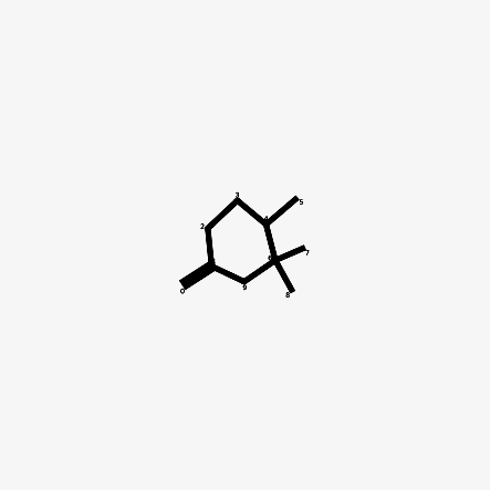 C=C1CCC(C)C(C)(C)C1